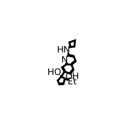 CCC1(O)C=CCC1(O)c1ccc2ccc(NC3CCC3)nc2c1